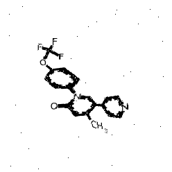 Cc1cc(=O)n(-c2ccc(OC(F)(F)F)cc2)cc1-c1ccncc1